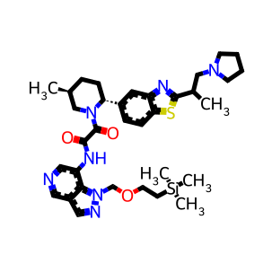 CC(CN1CCCC1)c1nc2cc([C@H]3CC[C@H](C)CN3C(=O)C(=O)Nc3cncc4cnn(COCC[Si](C)(C)C)c34)ccc2s1